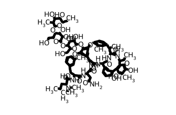 CCC1OC(OC2C(CO)OC(OC3C(CO)OC(Oc4c5cc6cc4Oc4ccc(cc4C)C(O)C(NC(=O)C(CC(C)C)N(C)C)C(=O)NC(CC(N)=O)C(=O)NC6C(=O)NC4C(=O)NC(C(=O)NC(C(C)=O)c6cc(O)c(C)c(O)c6-c6cc4ccc6O)C(C)c4ccc(c(C)c4)O5)C(O)C3O)C(O)C2O)C(C)C(O)C1O